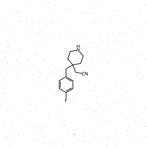 N#CCC1(Cc2ccc(F)cc2)CCNCC1